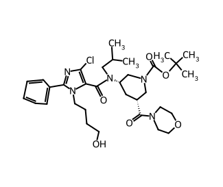 CC(C)CN(C(=O)c1c(Cl)nc(-c2ccccc2)n1CCCCO)[C@H]1C[C@@H](C(=O)N2CCOCC2)CN(C(=O)OC(C)(C)C)C1